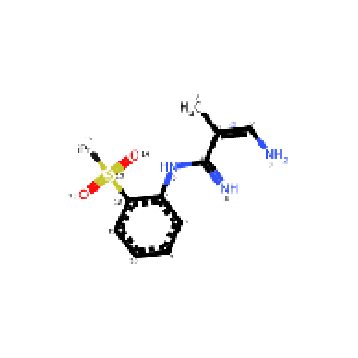 C/C(=C/N)C(=N)Nc1ccccc1S(=O)(=O)C(C)C